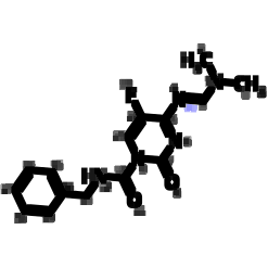 CN(C)/C=N/c1nc(=O)n(C(=O)NCc2ccccc2)cc1F